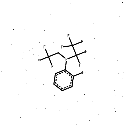 Fc1ccccc1P(CC(F)(F)F)C(F)(F)C(F)(F)F